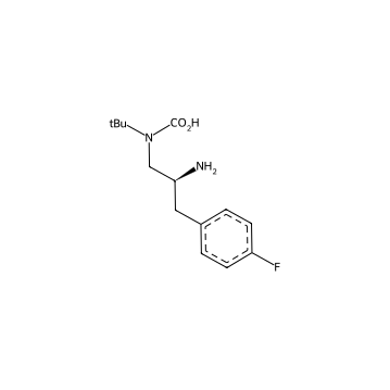 CC(C)(C)N(C[C@@H](N)Cc1ccc(F)cc1)C(=O)O